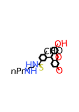 CCCNCCNC(=S)c1ccc(C=O)c(-c2c3ccc(=O)cc-3oc3cc(O)ccc23)c1